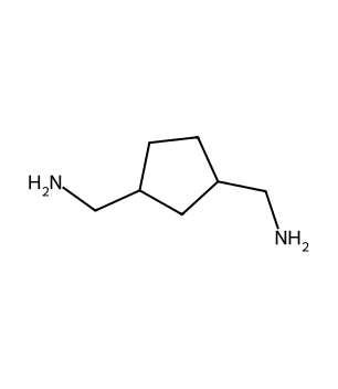 NCC1CCC(CN)C1